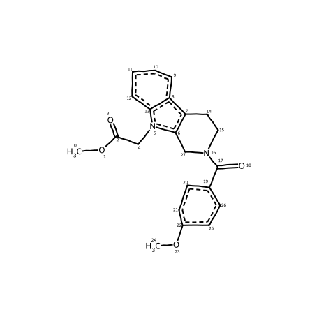 COC(=O)Cn1c2c(c3ccccc31)CCN(C(=O)c1ccc(OC)cc1)C2